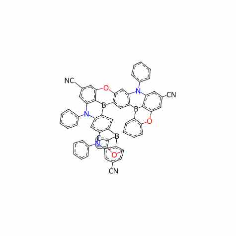 N#Cc1cc2c3c(c1)N(c1ccccc1)c1cc4c(cc1B3c1ccccc1O2)B1c2cc3c(cc2N(c2ccccc2)c2cc(C#N)cc(c21)O4)N(c1ccccc1)c1cc(C#N)cc2c1B3c1ccccc1O2